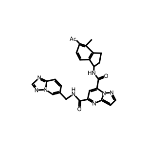 CC(=O)c1ccc2c(c1C)CCC2NC(=O)c1cc(C(=O)NCc2ccc3ncnn3c2)nc2ccnn12